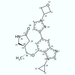 C[C@@H](Oc1cc(-c2ccn(C3COC3)n2)cc2ncn(C3CC3)c12)[C@H]1CNC(=O)C1